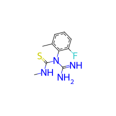 CNC(=S)N(C(=N)N)c1c(C)cccc1F